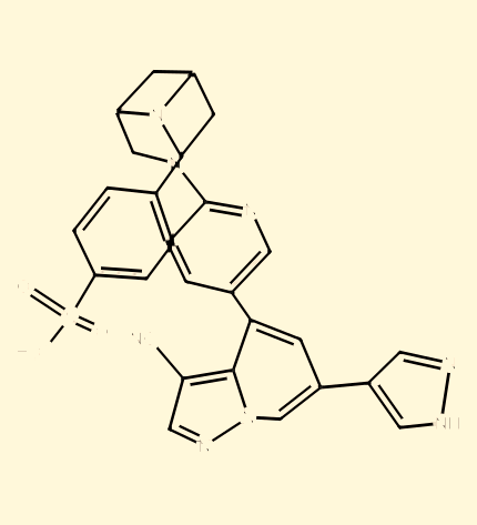 CS(=O)(=O)c1ccc(CN2C3CC2CN(c2ccc(-c4cc(-c5cn[nH]c5)cn5ncc(C#N)c45)cn2)C3)cc1